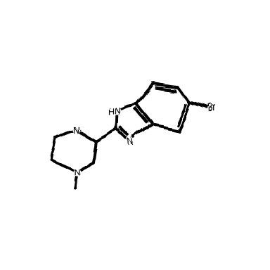 CN1CC[N]C(c2nc3cc(Br)ccc3[nH]2)C1